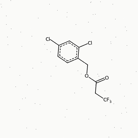 O=C(CC(F)(F)F)OCc1ccc(Cl)cc1Cl